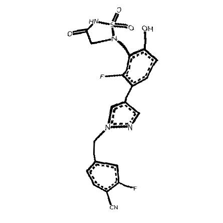 N#Cc1ccc(Cn2cc(-c3ccc(O)c(N4CC(=O)NS4(=O)=O)c3F)cn2)cc1F